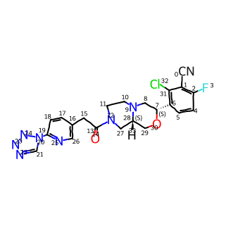 N#Cc1c(F)ccc([C@H]2CN3CCN(C(=O)Cc4ccc(-n5cnnn5)nc4)C[C@H]3CO2)c1Cl